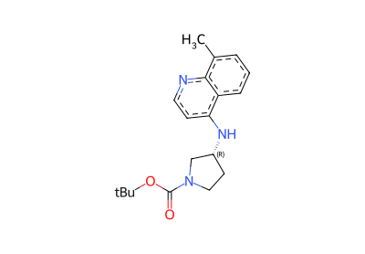 Cc1cccc2c(N[C@@H]3CCN(C(=O)OC(C)(C)C)C3)ccnc12